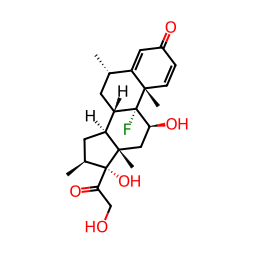 C[C@H]1C[C@H]2[C@@H]3C[C@H](C)[C@](O)(C(=O)CO)[C@@]3(C)C[C@H](O)[C@]2(F)[C@@]2(C)C=CC(=O)C=C12